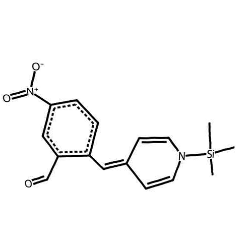 C[Si](C)(C)N1C=CC(=Cc2ccc([N+](=O)[O-])cc2C=O)C=C1